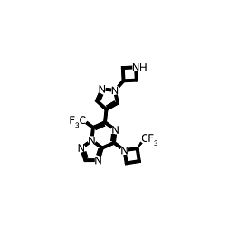 FC(F)(F)c1c(-c2cnn(C3CNC3)c2)nc(N2CC[C@@H]2C(F)(F)F)c2ncnn12